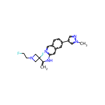 C=C(Nc1cc2cc(-c3cnn(C)c3)ccc2cn1)C1(F)CN(CCF)C1